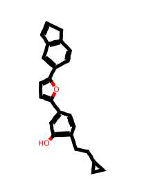 Oc1cc(-c2ccc(-c3ccc4c(c3)C=CC4)o2)ccc1CCC1CC1